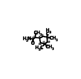 CC(C(N)=O)C1CC(C)(C)CC(C)(C)C1